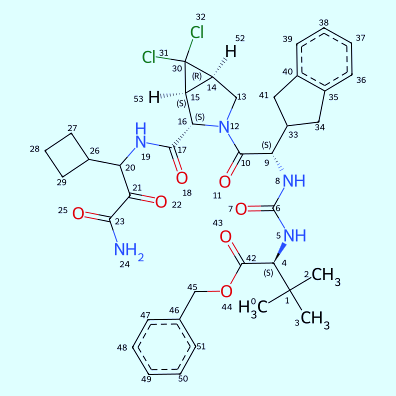 CC(C)(C)[C@H](NC(=O)N[C@H](C(=O)N1C[C@H]2[C@@H]([C@H]1C(=O)NC(C(=O)C(N)=O)C1CCC1)C2(Cl)Cl)C1Cc2ccccc2C1)C(=O)OCc1ccccc1